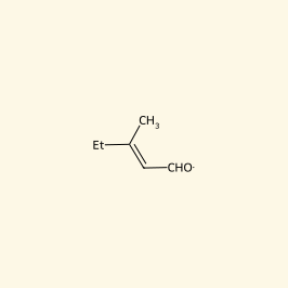 CC/C(C)=C/[C]=O